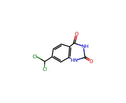 O=c1[nH]c(=O)c2ccc(C(Cl)Cl)cc2[nH]1